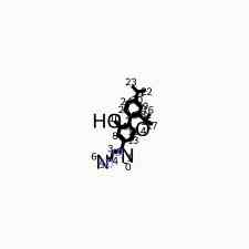 C=N/C(=C\C=N/C)c1cc(O)c2c(c1)OC(C)(C)c1cc(C(C)C)ccc1-2